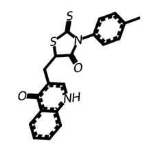 Cc1ccc(N2C(=O)C(Cc3c[nH]c4ccccc4c3=O)SC2=S)cc1